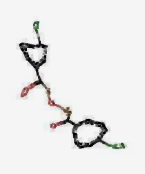 O=C(SOSC(=O)c1ccc(Cl)cc1)c1ccc(Cl)cc1